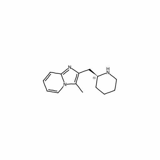 Cc1c(C[C@@H]2CCCCN2)nc2ccccn12